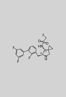 O=S(=O)(CF)N[C@@H]1[C@H](Cc2cccc(-c3cc(F)cc(F)c3)c2F)NCC12CC2